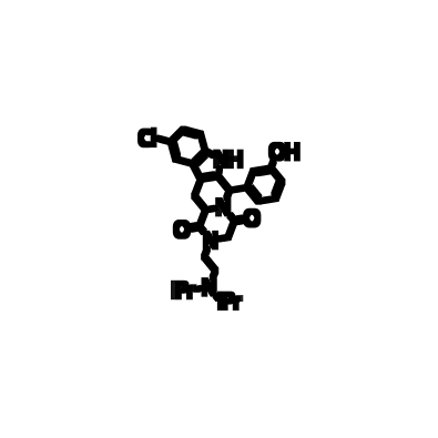 CC(C)N(CCN1CC(=O)N2C(Cc3c([nH]c4ccc(Cl)cc34)C2c2cccc(O)c2)C1=O)C(C)C